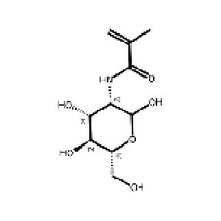 C=C(C)C(=O)N[C@@H]1C(O)O[C@H](CO)[C@@H](O)[C@@H]1O